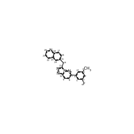 Cc1cc(F)cc(-c2ccc3nnc(Cc4ccc5ncccc5c4)n3n2)c1